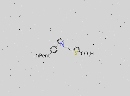 CCCCCc1ccc(-c2cccn2CCCc2ccc(C(=O)O)s2)cc1